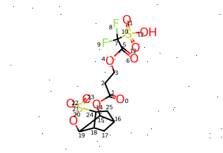 O=C(CCOC(=O)C(F)(F)S(=O)(=O)O)OC1C2CC3C1OS(=O)(=O)C3C2